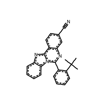 CC(C)(C)c1ccccc1-c1nc2cc(C#N)ccc2c2nc3ccccc3n12